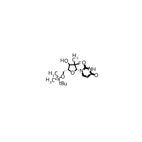 CC1(F)C(O)[C@@H](CO[Si](C)(C)C(C)(C)C)O[C@H]1n1ccc(=O)[nH]c1=O